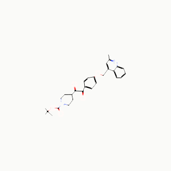 Cc1cc(COc2ccc(C(=O)C(=O)C3CCN(C(=O)OC(C)(C)C)CC3)cc2)c2ccccc2n1